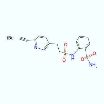 CC(C)(C)C#Cc1ccc(CCS(=O)(=O)Nc2ccccc2S(N)(=O)=O)cn1